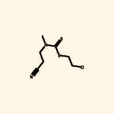 CN(CCC#N)C(=S)SCCCl